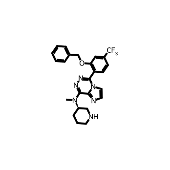 CN(c1nnc(-c2ccc(C(F)(F)F)cc2OCc2ccccc2)n2ccnc12)[C@@H]1CCCNC1